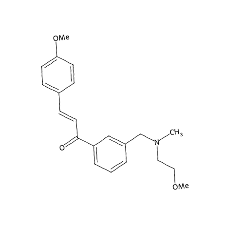 COCCN(C)Cc1cccc(C(=O)/C=C/c2ccc(OC)cc2)c1